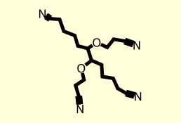 N#CCCCCC(OCCC#N)C(CCCCC#N)OCCC#N